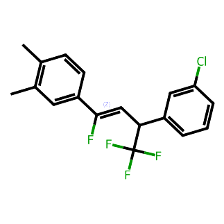 Cc1ccc(/C(F)=C/C(c2cccc(Cl)c2)C(F)(F)F)cc1C